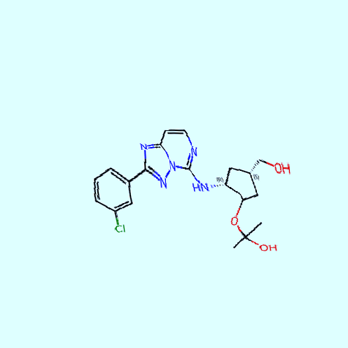 CC(C)(O)OC1C[C@@H](CO)C[C@H]1Nc1nccc2nc(-c3cccc(Cl)c3)nn12